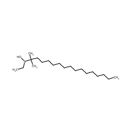 CCCCCCCCCCCCCCCC(C)(C)N(O)CC